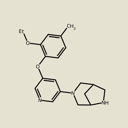 CCOc1cc(C)ccc1Oc1cncc(N2CC3CNC(C3)C2)c1